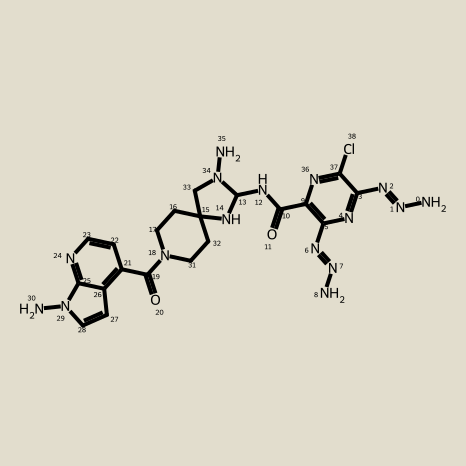 NN=Nc1nc(N=NN)c(C(=O)NC2NC3(CCN(C(=O)c4ccnc5c4ccn5N)CC3)CN2N)nc1Cl